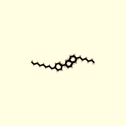 CCCCCCCCC1CC=C(c2ccc3cc(CCCCCC)ccc3c2)CC1